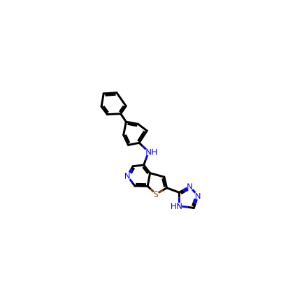 c1ccc(-c2ccc(Nc3cncc4sc(-c5nnc[nH]5)cc34)cc2)cc1